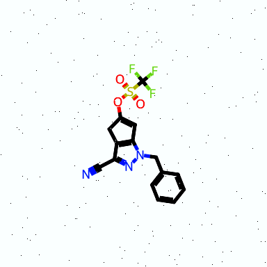 N#Cc1nn(Cc2ccccc2)c2c1CC(OS(=O)(=O)C(F)(F)F)=C2